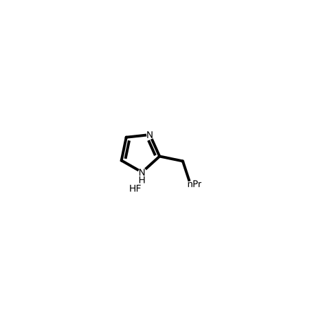 CCCCc1ncc[nH]1.F